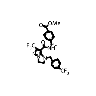 COC(=O)c1ccc([C@H](C)NC(=O)c2c(C(F)(F)F)nn3c2N(Cc2ccc(C(F)(F)F)cc2)CC3)cc1